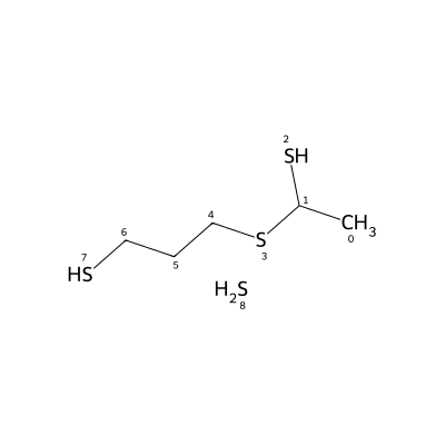 CC(S)SCCCS.S